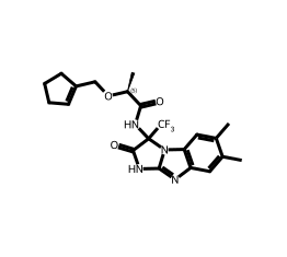 Cc1cc2nc3n(c2cc1C)C(NC(=O)[C@H](C)OCC1=CCCC1)(C(F)(F)F)C(=O)N3